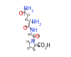 NC(=O)CC[C@H](N)C(=O)NCC(=O)N1CCC[C@H]1C(=O)O